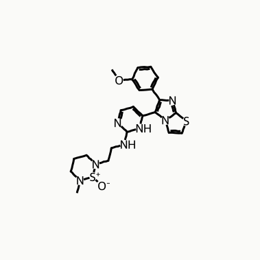 COc1cccc(-c2nc3sccn3c2C2=CC=NC(NCCN3CCCN(C)[S+]3[O-])N2)c1